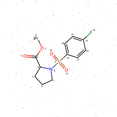 CC(C)OC(=O)C1CCCN1S(=O)(=O)c1ccc(F)cc1